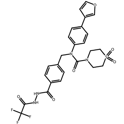 O=C(NNC(=O)C(F)(F)F)c1ccc(CN(C(=O)N2CCS(=O)(=O)CC2)c2ccc(-c3ccoc3)cc2)cc1